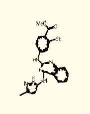 CCc1cc(Nc2nc(Nc3cc(C)n[nH]3)c3ccccc3n2)ccc1C(=O)OC